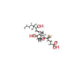 CCCCC(C)(C)[C@H](O)/C=C/[C@@H]1[C@H]2CC(C(Br)CCCC(=O)O)O[C@@H]2C[C@H]1O